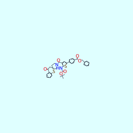 CC(C)(C)OC(=O)Nc1sc(-c2ccc(C(=O)OCc3ccccc3)cc2)cc1C(=O)N1CCC2(CC1)CC(=O)c1ccccc1S2